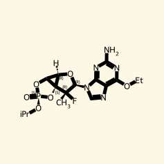 CCOc1nc(N)nc2c1ncn2[C@@H]1O[C@@H]2C3O[P@](=O)(OC(C)C)O[C@]32[C@@]1(C)F